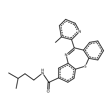 Cc1cccnc1C1=Nc2cc(C(=O)NCCC(C)C)ccc2Sc2ccccc21